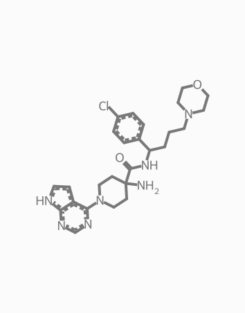 NC1(C(=O)NC(CCCN2CCOCC2)c2ccc(Cl)cc2)CCN(c2ncnc3[nH]ccc23)CC1